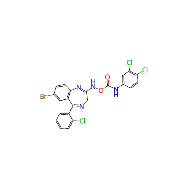 O=C(Nc1ccc(Cl)c(Cl)c1)ONC1=Nc2ccc(Br)cc2C(c2ccccc2Cl)=NC1